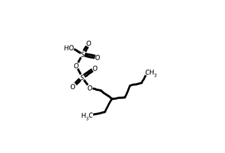 CCCCC(CC)COS(=O)(=O)OS(=O)(=O)O